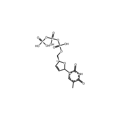 Cc1cn(C2C=C[C@@H](COP(=O)(O)OP(=O)(O)OP(=O)(O)O)O2)c(=O)[nH]c1=O